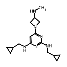 CNC1CN(c2cc(NCC3CC3)nc(NCC3CC3)n2)C1